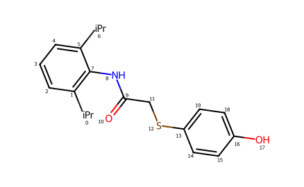 CC(C)c1cccc(C(C)C)c1NC(=O)CSc1ccc(O)cc1